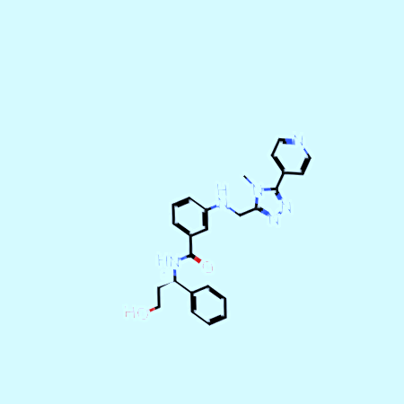 Cn1c(CNc2cccc(C(=O)N[C@H](CCO)c3ccccc3)c2)nnc1-c1ccncc1